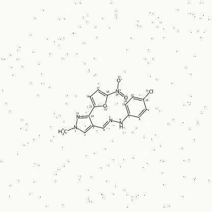 Cn1cc(C=NNc2ccc(Cl)cc2)c(-c2ccc([N+](=O)[O-])o2)n1